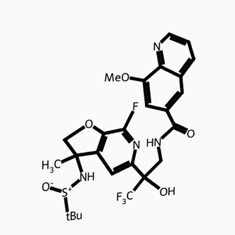 COc1cc(C(=O)NCC(O)(c2cc3c(c(F)n2)OCC3(C)N[S+]([O-])C(C)(C)C)C(F)(F)F)cc2cccnc12